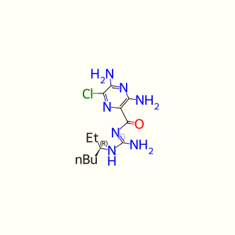 CCCC[C@@H](CC)N/C(N)=N/C(=O)c1nc(Cl)c(N)nc1N